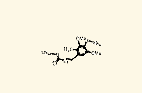 CCCCSc1c(OC)cc(CCNC(=O)OC(C)(C)C)c(C)c1OC